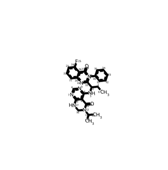 CCC(Nc1ncnc2c1C(=O)N(C(C)C)CN2)c1nc2cccc(F)c2c(=O)n1-c1ccccc1